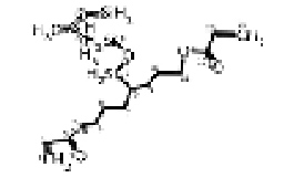 C=CC(=O)OCCCC(CCCOC(=O)C=C)[SiH2]O[SiH3].C[SiH](C)O[SiH3]